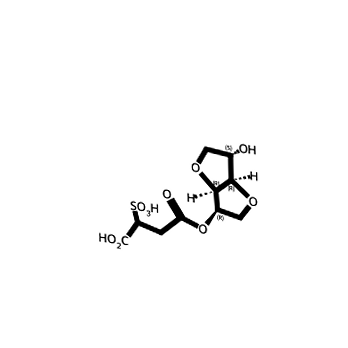 O=C(CC(C(=O)O)S(=O)(=O)O)O[C@@H]1CO[C@H]2[C@@H]1OC[C@@H]2O